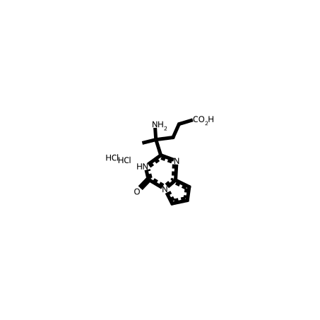 CC(N)(CCC(=O)O)c1nc2cccn2c(=O)[nH]1.Cl.Cl